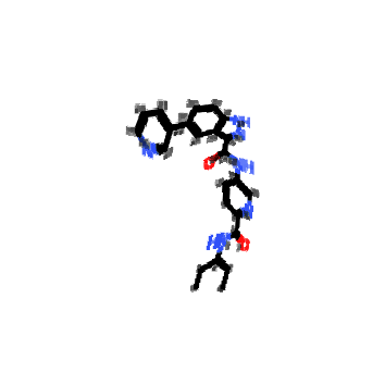 CCC(CC)NC(=O)c1ccc(NC(=O)c2n[nH]c3ccc(-c4cccnc4)cc23)cn1